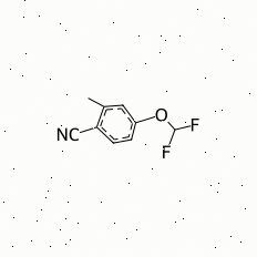 Cc1cc(OC(F)F)ccc1C#N